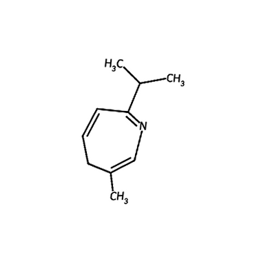 CC1=CN=C(C(C)C)C=CC1